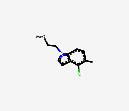 COCCn1ccc2c(Cl)c(C)ccc21